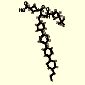 CCCC1CCC(c2ccc(-c3cnc(-c4ccc(CC(NC(=O)c5ccc(C(C)(C)C)s5)C(=O)N5CC(C(=O)O)C5)cc4)nc3)cc2)CC1